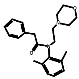 Cc1cccc(C)c1N(CCN1CCOCC1)C(=O)Cc1ccccc1